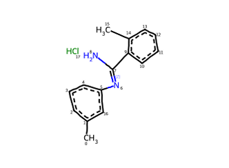 Cc1cccc(/N=C(\N)c2ccccc2C)c1.Cl